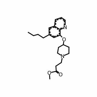 CCCCc1cc(OC2CCN(CCC(=O)OC)CC2)c2ncccc2c1